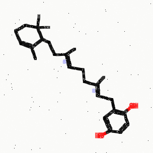 CC1=CCCC(C)(C)C1CC/C(C)=C/CC/C(C)=C/Cc1cc(O)ccc1O